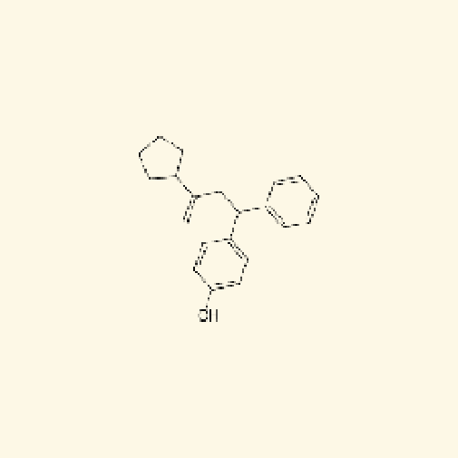 C=C(CC(c1ccccc1)c1ccc(O)cc1)C1CCCC1